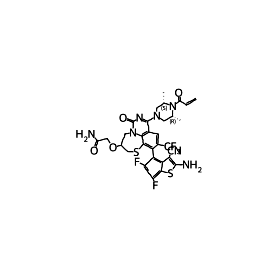 C=CC(=O)N1[C@H](C)CN(c2nc(=O)n3c4c(c(-c5c(F)cc(F)c6sc(N)c(C#N)c56)c(C(F)(F)F)cc24)SCC(OCC(N)=O)C3)C[C@@H]1C